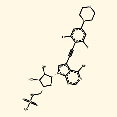 Nc1ncnc2c1c(C#Cc1c(F)cc(N3CCSCC3)cc1F)cn2[C@@H]1O[C@H](CNS(N)(=O)=O)[C@@H](O)[C@H]1O